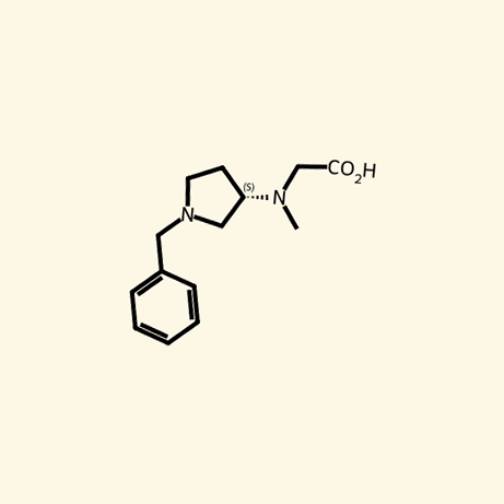 CN(CC(=O)O)[C@H]1CCN(Cc2ccccc2)C1